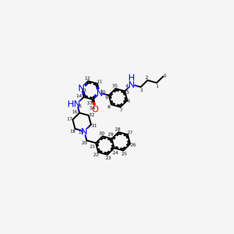 CCCCNc1cccc(-n2ccnc(NC3CCN(Cc4ccc5ccccc5c4)CC3)c2=O)c1